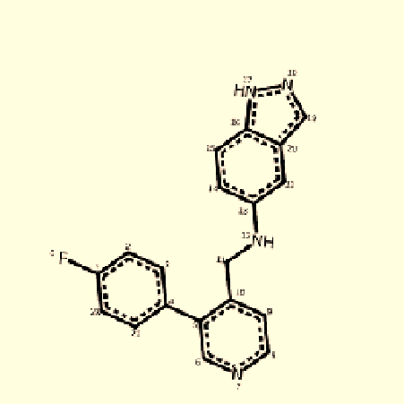 Fc1ccc(-c2cnccc2CNc2ccc3[nH]ncc3c2)cc1